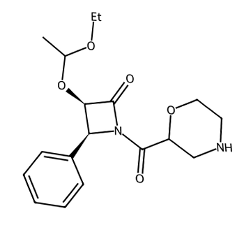 CCOC(C)O[C@H]1C(=O)N(C(=O)C2CNCCO2)[C@H]1c1ccccc1